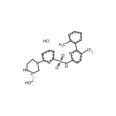 Cc1ccccc1-c1nc(NS(=O)(=O)c2cccc(N3CCN[C@@H](CO)C3)n2)ccc1C(F)(F)F.Cl